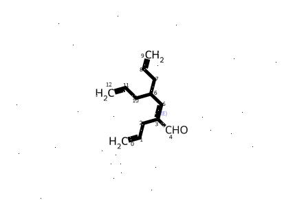 C=CC/C(C=O)=C\C(CC=C)CC=C